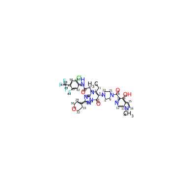 CCc1c(N2CCN(C(=O)c3ncc4c(ccn4C)c3O)CC2)c(=O)n2nc(C3=CCOCC3)nc2n1CC(=O)Nc1cc(F)c(C(F)(F)F)cc1Cl